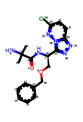 CC(C)(N)C(=O)N[C@H](COCc1ccccc1)c1nnc2ccc(Cl)nn12